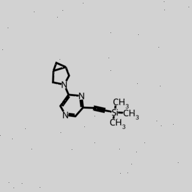 C[Si](C)(C)C#Cc1cncc(N2CC3CC3C2)n1